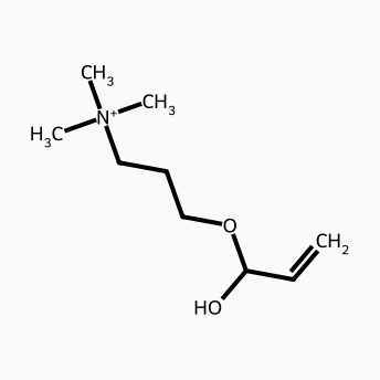 C=CC(O)OCCC[N+](C)(C)C